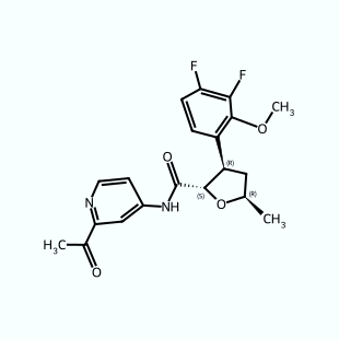 COc1c([C@H]2C[C@@H](C)O[C@@H]2C(=O)Nc2ccnc(C(C)=O)c2)ccc(F)c1F